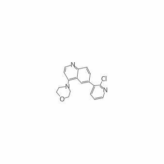 Clc1ncccc1-c1ccc2nccc(N3CCOCC3)c2c1